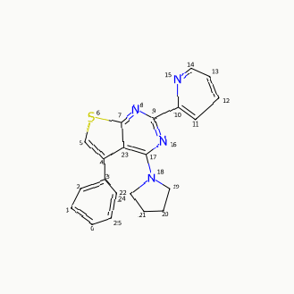 c1ccc(-c2csc3nc(-c4ccccn4)nc(N4CCCC4)c23)cc1